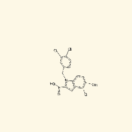 O=C(O)c1cc2c(Cl)c(O)ccc2n1Cc1ccc(Cl)c(Cl)c1